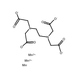 O=C([O-])CN(CCN(CC(=O)[O-])CC(=O)[O-])CC(=O)[O-].[Mn+2].[Mn+2].[Mn]